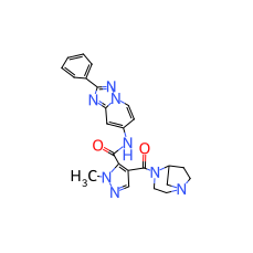 Cn1ncc(C(=O)N2CCN3CCC2C3)c1C(=O)Nc1ccn2nc(-c3ccccc3)nc2c1